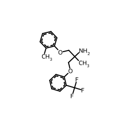 Cc1ccccc1OCC(C)(N)COc1ccccc1C(F)(F)F